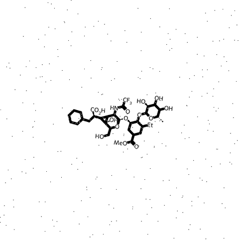 CCC1CC(C(=O)OC)C[C@@H](O[C@@H]2OC(CO)[C@]3(O)C(C2NC(=O)C(F)(F)F)C3[C@@H](CC2CCCCC2)C(=O)O)C1OC1O[C@@H](C)C(O)C(O)[C@@H]1O